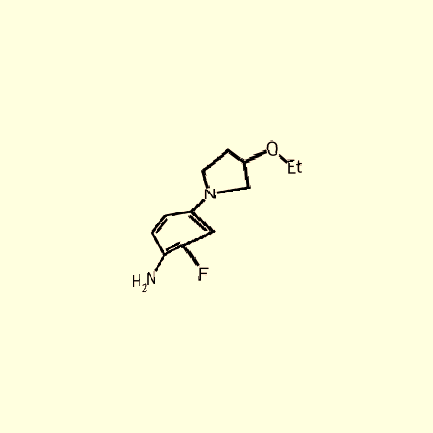 CCOC1CCN(c2ccc(N)c(F)c2)C1